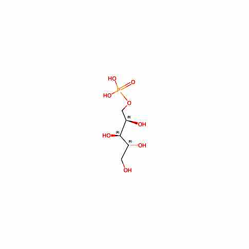 O=P(O)(O)OC[C@@H](O)[C@H](O)[C@H](O)CO